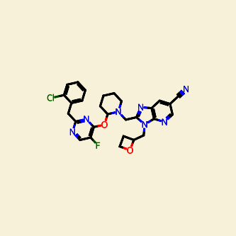 N#Cc1cnc2c(c1)nc(CN1CCCCC1Oc1nc(Cc3ccccc3Cl)ncc1F)n2CC1CCO1